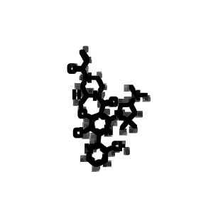 C=CC(=O)N1CCN2C(=O)c3c(N4CC(N(C)C)CC4(C)C)nc(-c4ncccc4C(F)(F)F)c(Cl)c3OC[C@H]2C1